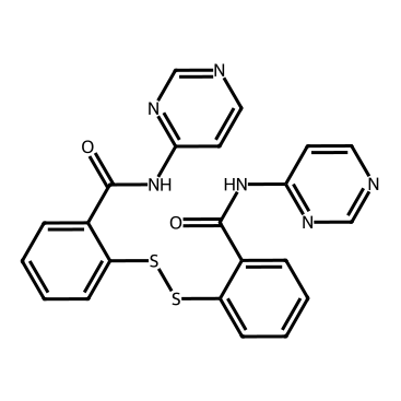 O=C(Nc1ccncn1)c1ccccc1SSc1ccccc1C(=O)Nc1ccncn1